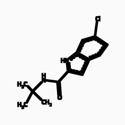 CC(C)(C)NC(=O)c1cc2ccc(Cl)cc2[nH]1